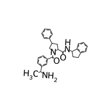 CC(N)c1cccc(C(=O)N2CC(c3ccccc3)CC2C(=O)NC2CCc3ccccc32)c1